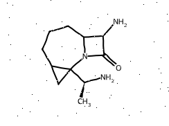 C[C@H](N)C12CC1CCCC1C(N)C(=O)N12